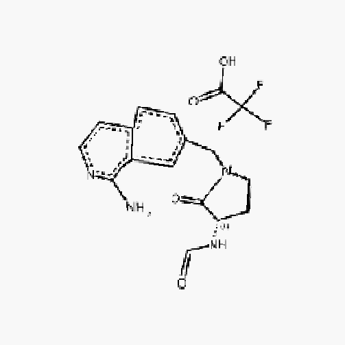 Nc1nccc2ccc(CN3CC[C@H](NC=O)C3=O)cc12.O=C(O)C(F)(F)F